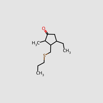 CCCSCC1C(CC)CC(=O)C1C